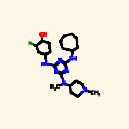 CN1CCC(N(C)c2nc(NC3CCCCCC3)nc(NC3CCC(O)C(F)C3)n2)CC1